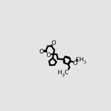 CCc1cc(CCC2(C3CCCC3)CC(=O)CC(=O)O2)ccc1OC